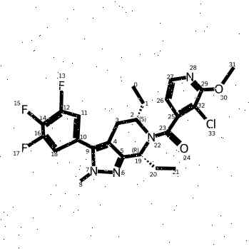 CC[C@H]1Cc2c(nn(C)c2-c2cc(F)c(F)c(F)c2)[C@@H](CC)N1C(=O)c1ccnc(OC)c1Cl